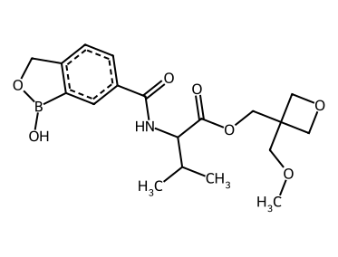 COCC1(COC(=O)C(NC(=O)c2ccc3c(c2)B(O)OC3)C(C)C)COC1